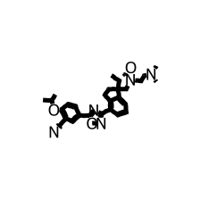 CCC1(CN(C=O)CCN(C)C)CCc2c(-c3noc(-c4ccc(OC(C)C)c(C#N)c4)n3)cccc21